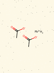 CC(=O)[O-].CC(=O)[O-].[PbH2+2]